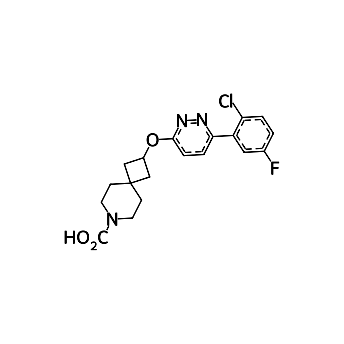 O=C(O)N1CCC2(CC1)CC(Oc1ccc(-c3cc(F)ccc3Cl)nn1)C2